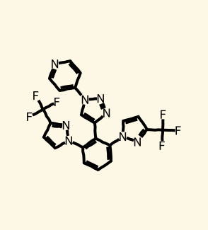 FC(F)(F)c1ccn(-c2cccc(-n3ccc(C(F)(F)F)n3)c2-c2cn(-c3ccncc3)nn2)n1